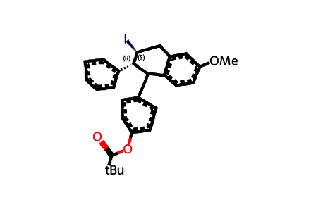 COc1ccc2c(c1)C[C@H](I)[C@@H](c1ccccc1)C2c1ccc(OC(=O)C(C)(C)C)cc1